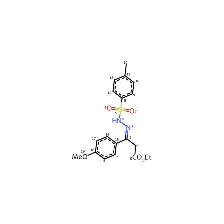 CCOC(=O)C/C(=N/NS(=O)(=O)c1ccc(C)cc1)c1ccc(OC)cc1